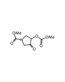 COC(=O)OC1CN(C(=O)OC)CC1=O